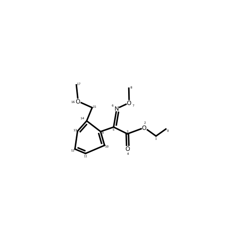 CCOC(=O)/C(=N\OC)c1ccccc1COC